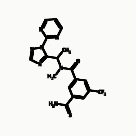 CC(c1ncnn1-c1ncccn1)N(C)C(=O)c1cc(C(N)=S)cc(C(F)(F)F)c1